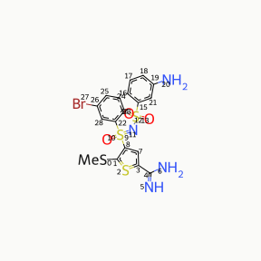 CSc1sc(C(=N)N)cc1S(=O)(=NS(=O)(=O)c1cccc(N)c1)c1cccc(Br)c1